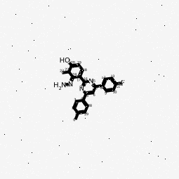 Cc1ccc(-c2cc(-c3ccc(F)cc3)nc(C3=CC=C(O)C(C)C3=NN)n2)cc1